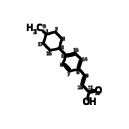 CC1CCC(c2ccc(/C=C/C(=O)O)cc2)CC1